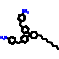 CCCCCCCCC1CCC(c2ccc(Cc3ccc(N)cc3)cc2)(c2ccc(Cc3ccc(N)cc3)cc2)CC1